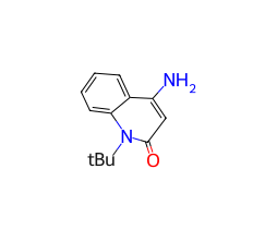 CC(C)(C)n1c(=O)cc(N)c2ccccc21